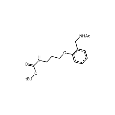 CC(=O)NCc1ccccc1OCCCNC(=O)OC(C)(C)C